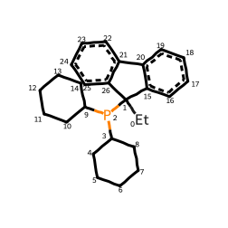 CCC1(P(C2CCCCC2)C2CCCCC2)c2ccccc2-c2ccccc21